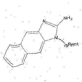 CCCCCn1c(N)nc2cc3ccccc3cc21